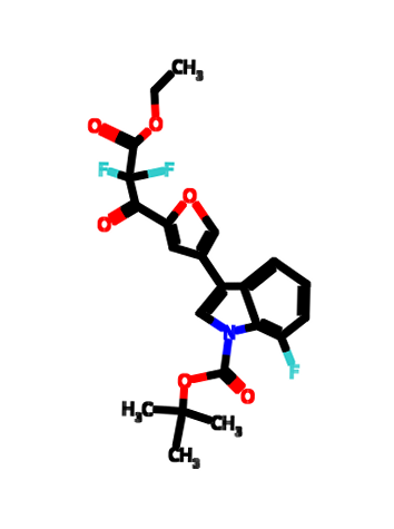 CCOC(=O)C(F)(F)C(=O)c1cc(-c2cn(C(=O)OC(C)(C)C)c3c(F)cccc23)co1